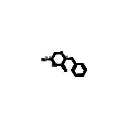 CC[C@H](C)[C@H]1CO[C@@H](Cc2ccccc2)C(=O)N1